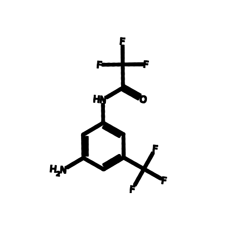 Nc1cc(NC(=O)C(F)(F)F)cc(C(F)(F)F)c1